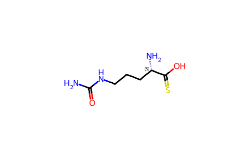 NC(=O)NCCC[C@H](N)C(O)=S